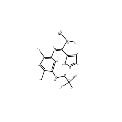 Cc1cc(F)c(/N=C(\c2cccs2)N(C)C#N)cc1SCC(C)(F)F